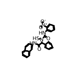 O=C(Nc1ccc2ccccc2c1)C(c1ccccc1)N(S)C(=O)Nc1ccccc1[N+](=O)[O-]